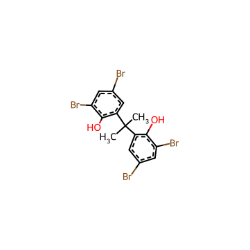 CC(C)(c1cc(Br)cc(Br)c1O)c1cc(Br)cc(Br)c1O